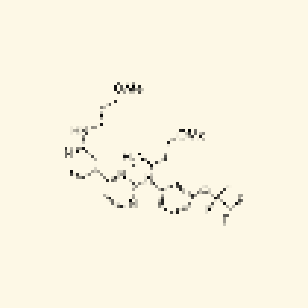 COCCCNc1cc(-c2ccnc(N(c3cccc(OC(F)(F)C(F)F)c3)C(N)CCOC)n2)ccn1